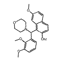 COc1ccc2ccc(O)c(C(c3cccc(OC)c3OC)N3CCOCC3)c2c1